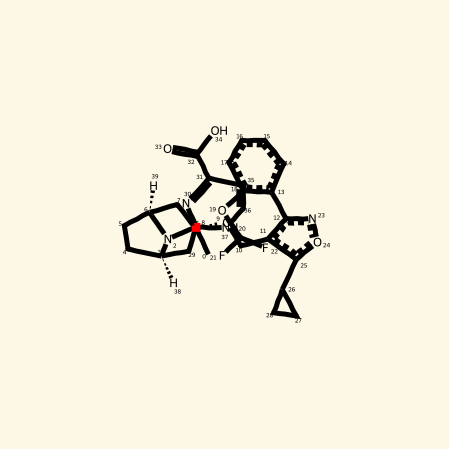 CC1(N2[C@@H]3CC[C@H]2C[C@H](OCc2c(-c4ccccc4OC(F)F)noc2C2CC2)C3)N=C(C(=O)O)C=CN1